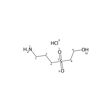 Cl.NCCCS(=O)(=O)CCO